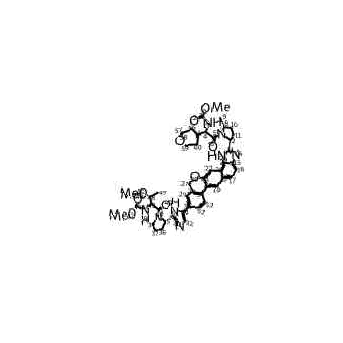 COC(=O)NC(C(=O)N1[C@@H](C)CC[C@H]1c1nc2ccc3cc4c(cc3c2[nH]1)OCc1cc(-c2cnc([C@@H]3CC[C@H](C)N3C(=O)C(NC(=O)OC)[C@@H](C)OC)[nH]2)ccc1-4)C1CCOCC1